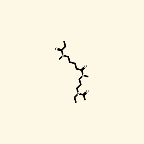 CCC(=O)N(C)CCCCC(=O)N(C)CCCN(CC)C(C)=O